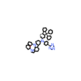 c1ccc(-n2ccc3ccc4c5cc(N(c6ccc(-c7ncncn7)cc6)c6ccc7c(c6)C(c6ccccc6)(c6ccccc6)c6ccccc6-7)ccc5n(-c5ccccc5)c4c32)cc1